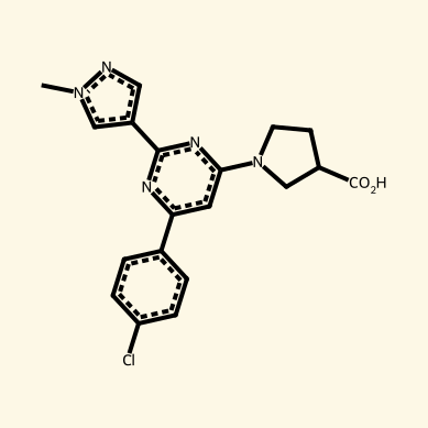 Cn1cc(-c2nc(-c3ccc(Cl)cc3)cc(N3CCC(C(=O)O)C3)n2)cn1